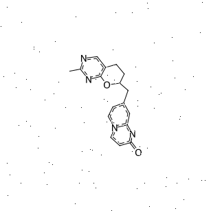 Cc1ncc2c(n1)OC(Cc1ccn3ccc(=O)nc3c1)CC2